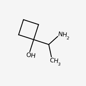 CC(N)C1(O)CCC1